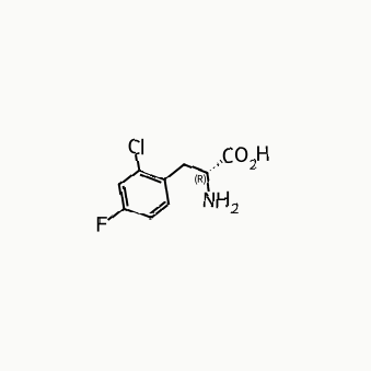 N[C@H](Cc1ccc(F)cc1Cl)C(=O)O